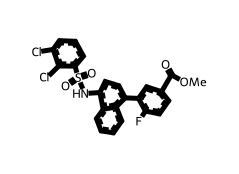 COC(=O)c1ccc(F)c(-c2ccc(NS(=O)(=O)c3cccc(Cl)c3Cl)c3ccccc23)c1